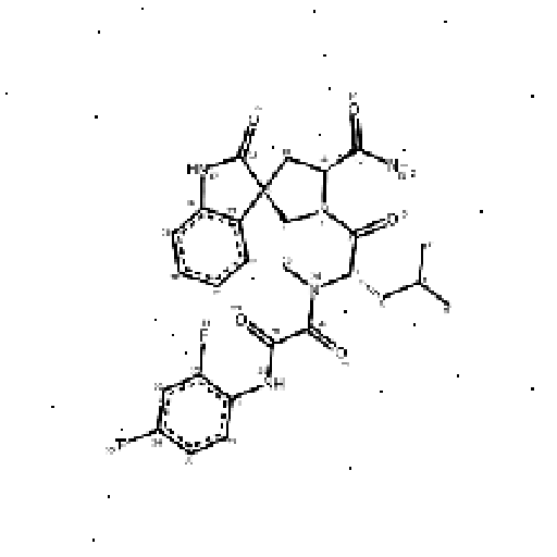 CC(C)C[C@@H](C(=O)N1C[C@]2(C[C@H]1C(N)=O)C(=O)Nc1ccccc12)N(C)C(=O)C(=O)Nc1ccc(F)cc1F